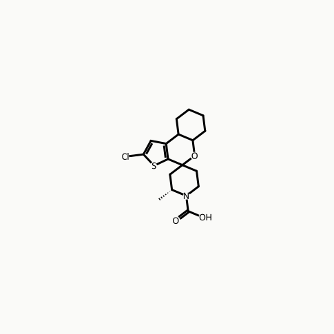 C[C@@H]1CC2(CCN1C(=O)O)OC1CCCCC1c1cc(Cl)sc12